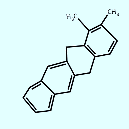 Cc1ccc2c(c1C)Cc1cc3ccccc3cc1C2